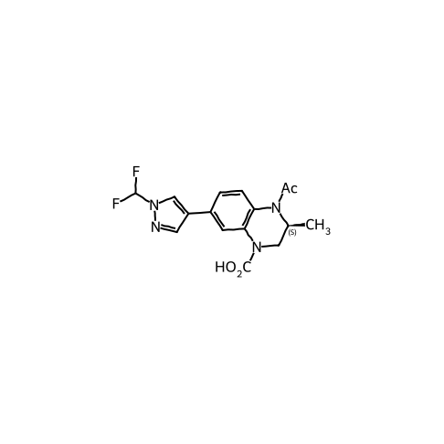 CC(=O)N1c2ccc(-c3cnn(C(F)F)c3)cc2N(C(=O)O)C[C@@H]1C